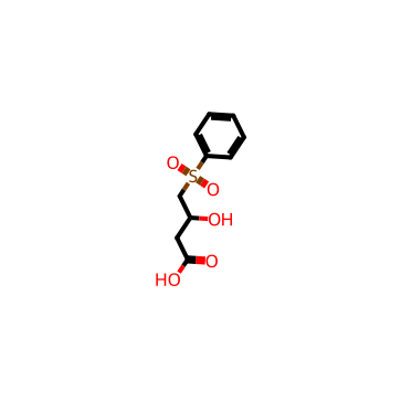 O=C(O)CC(O)CS(=O)(=O)c1ccccc1